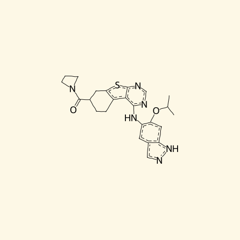 CC(C)Oc1cc2[nH]ncc2cc1Nc1ncnc2sc3c(c12)CCC(C(=O)N1CCC1)C3